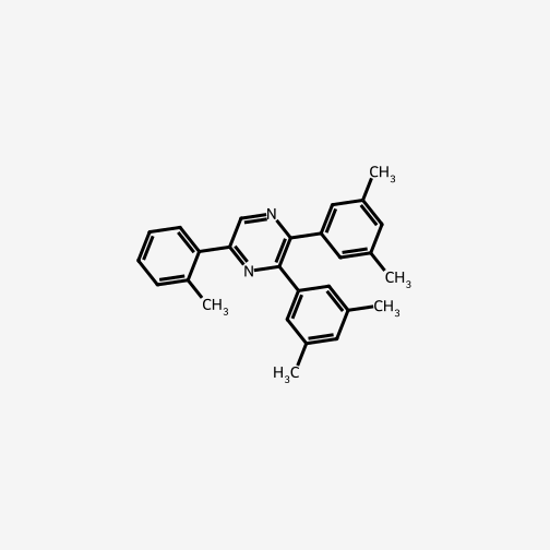 Cc1cc(C)cc(-c2ncc(-c3ccccc3C)nc2-c2cc(C)cc(C)c2)c1